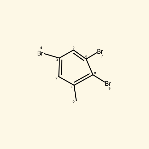 Cc1cc(Br)cc(Br)c1Br